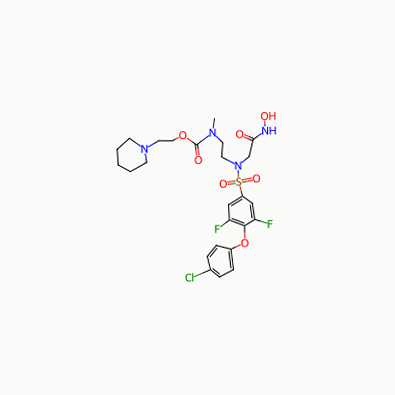 CN(CCN(CC(=O)NO)S(=O)(=O)c1cc(F)c(Oc2ccc(Cl)cc2)c(F)c1)C(=O)OCCN1CCCCC1